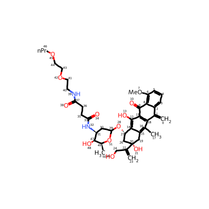 C=C1c2cccc(OC)c2C(=O)c2c(O)c3c(c(C)c21)C[C@@](O)(C(=C)CO)C[C@@H]3OC1C[C@H](NC(=O)CCC(=O)NCCOCCOCCC)[C@H](O)[C@H](C)O1